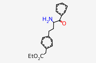 CCOC(=O)Cc1ccc(CCC(N)C(=O)c2ccccc2)cc1